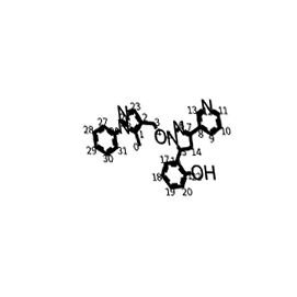 Cc1c(CON2N=C(c3cccnc3)CC2c2ccccc2O)cnn1-c1ccccc1